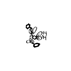 CN(C(=O)OCc1ccccc1)C1C[C@H](O)[C@@H](O)C[C@@H]1N(C)C(=O)OCc1ccccc1